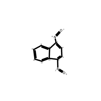 O=Nc1ccc(N=O)c2ccccc12